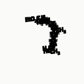 CCOC(=O)[C@H]1[C@@H]2Cc3cc(OCc4cc(-c5ccc(N6Cc7cn(CC(C)(C)O)nc7C6)cc5F)c(C)cc4F)ncc3[C@@H]21